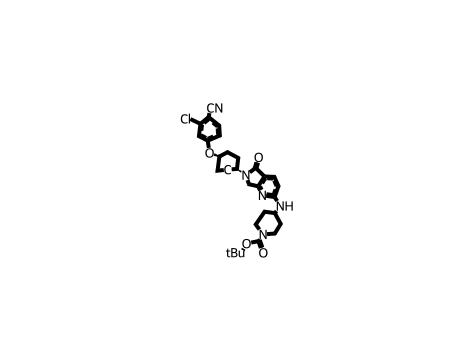 CC(C)(C)OC(=O)N1CCC(Nc2ccc3c(n2)CN([C@H]2CC[C@H](Oc4ccc(C#N)c(Cl)c4)CC2)C3=O)CC1